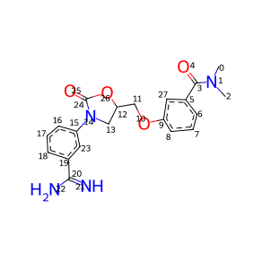 CN(C)C(=O)c1cccc(OCC2CN(c3cccc(C(=N)N)c3)C(=O)O2)c1